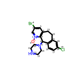 [O-][n+]1cc(Br)cc2c1C(N1CCNCC1)c1ccc(Cl)cc1CC2